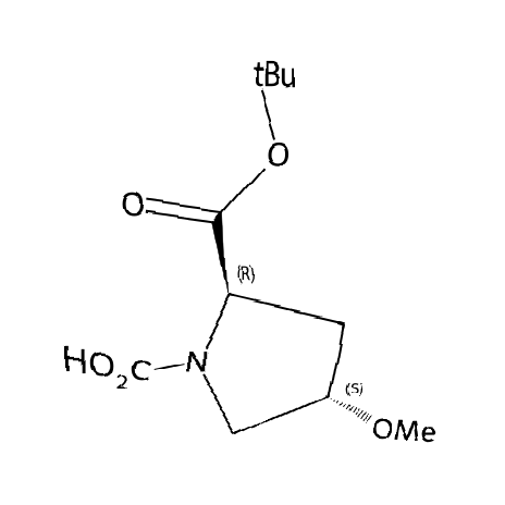 CO[C@H]1C[C@H](C(=O)OC(C)(C)C)N(C(=O)O)C1